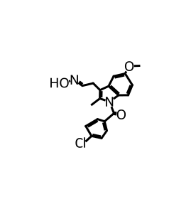 COc1ccc2c(c1)c(CC=NO)c(C)n2C(=O)c1ccc(Cl)cc1